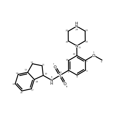 COc1ccc(S(=O)(=O)NC2CCc3ccccc32)cc1N1CCNCC1